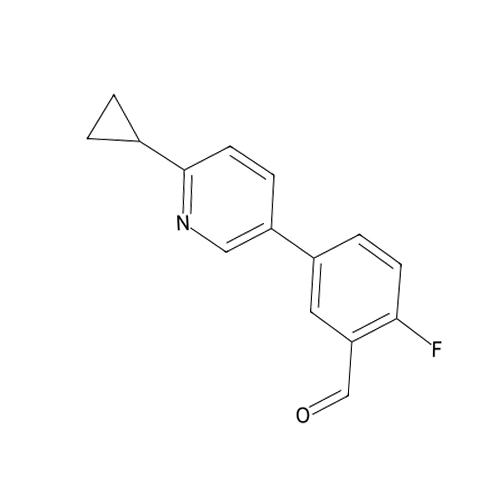 O=Cc1cc(-c2ccc(C3CC3)nc2)ccc1F